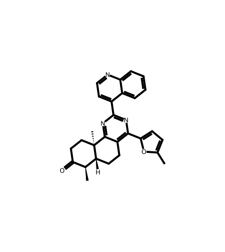 Cc1ccc(-c2nc(-c3ccnc4ccccc34)nc3c2CC[C@@H]2[C@@H](C)C(=O)CC[C@@]32C)o1